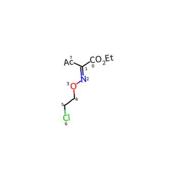 CCOC(=O)C(=NOCCCl)C(C)=O